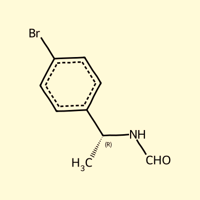 C[C@@H](NC=O)c1ccc(Br)cc1